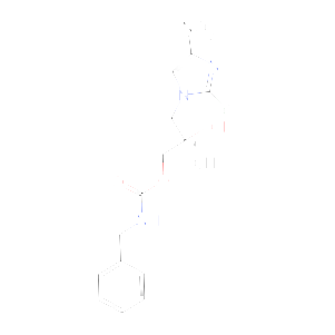 C[C@](O)(COC(=O)NCc1ccccc1)Cn1cc([N+](=O)[O-])nc1Cl